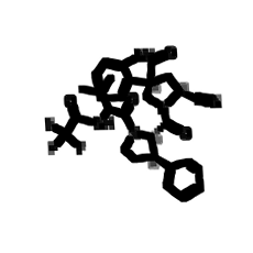 CC(C)C(NC(=O)C(F)(F)F)C(=O)N1CC[C@H](c2ccccc2)[C@H]1C(=O)N1C[C@]2(C[C@H]1C#N)C(=O)Nc1ccccc12